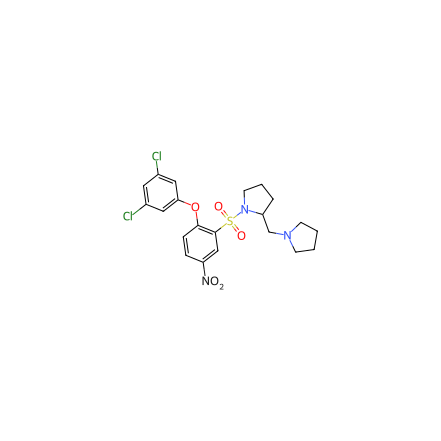 O=[N+]([O-])c1ccc(Oc2cc(Cl)cc(Cl)c2)c(S(=O)(=O)N2CCCC2CN2CCCC2)c1